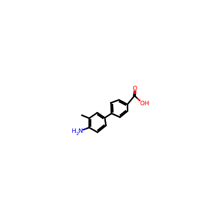 Cc1cc(-c2ccc(C(=O)O)cc2)ccc1N